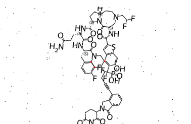 NC(=O)CC[C@H](NC(=O)[C@@H]1CC[C@@H]2CCN(CC(F)F)C[C@H](NC(=O)c3cc4cc(C(F)(F)P(=O)(O)O)ccc4s3)C(=O)N21)C(=O)N[C@@H](Cc1ccc(F)c(F)c1)C(=O)N1CCC(CCC#Cc2cccc3c2CN(C2CCC(=O)NC2=O)C3=O)CC1